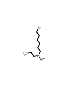 CCCN(CCCCCCBr)CCC(F)(F)F